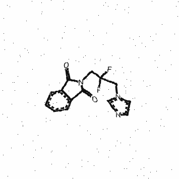 O=C1c2ccccc2C(=O)N1CC(F)(F)Cn1ccnc1